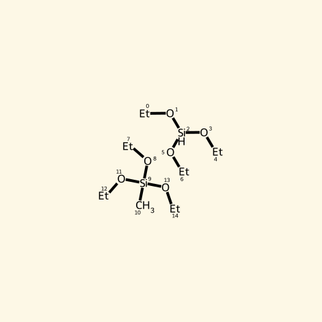 CCO[SiH](OCC)OCC.CCO[Si](C)(OCC)OCC